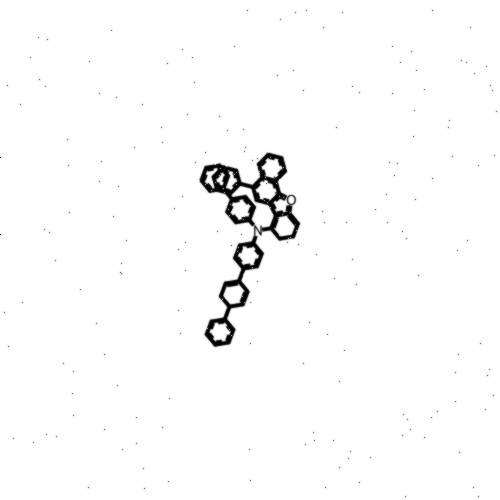 C1=CC(c2ccccc2)CC=C1c1ccc(N(C2=c3c(oc4c3cc(-c3ccccc3)c3ccccc34)=CCC2)c2ccc(-c3ccccc3)cc2)cc1